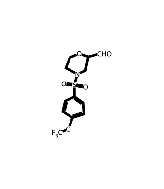 O=CC1CN(S(=O)(=O)c2ccc(OC(F)(F)F)cc2)CCO1